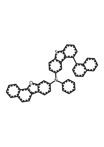 c1ccc(N(c2ccc3c(c2)oc2c4ccccc4ccc32)c2ccc3sc4cccc(-c5cccc6ccccc56)c4c3c2)cc1